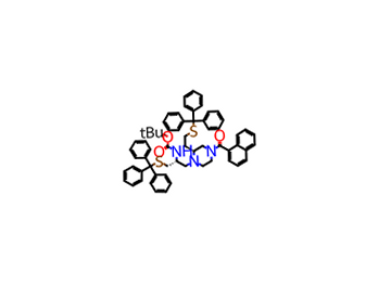 CC(C)(C)OC(=O)N[C@@H](CSC(c1ccccc1)(c1ccccc1)c1ccccc1)CN1CCN(C(=O)c2cccc3ccccc23)C[C@@H]1CCSC(c1ccccc1)(c1ccccc1)c1ccccc1